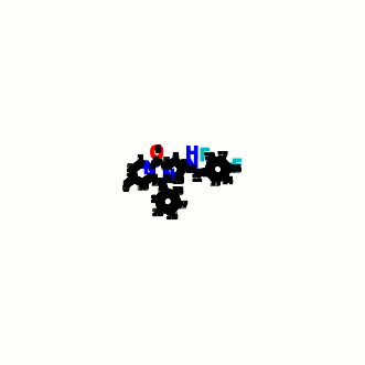 CC1CCN(C(=O)[C@@H]2C[C@H](NCc3ccc(F)cc3F)CN2Cc2ccccc2)CC1